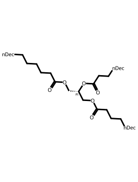 CCCCCCCCCCCCCCCC(=O)OC[C@@H](COC(=O)CCCCCCCCCCCCC)OC(=O)CCCCCCCCCCCC